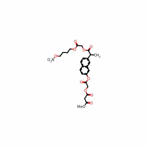 COC(=O)CC(=O)OCC(=O)Oc1ccc2ccc(C(C)C(=O)OCC(=O)OCCCCO[N+](=O)[O-])cc2c1